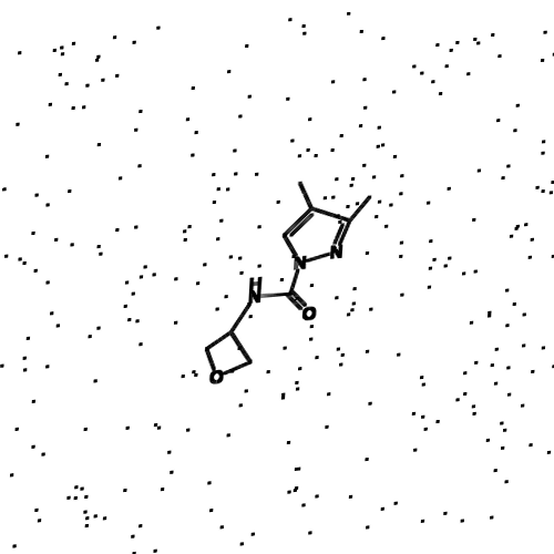 Cc1cn(C(=O)NC2COC2)nc1C